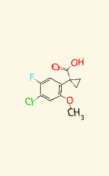 COc1cc(Cl)c(F)cc1C1(C(=O)O)CC1